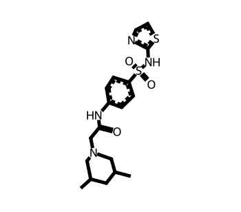 CC1CC(C)CN(CC(=O)Nc2ccc(S(=O)(=O)Nc3nccs3)cc2)C1